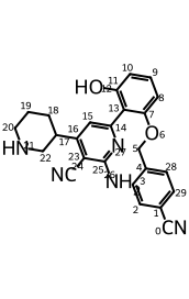 N#Cc1ccc(COc2cccc(O)c2-c2cc(C3CCCNC3)c(C#N)c(N)n2)cc1